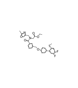 CCOC(=O)CN(Cc1coc(C)n1)C(=O)c1cccc(COc2ccc(-c3cc(F)c(F)cc3SC)cc2)c1